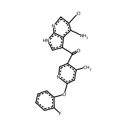 Cc1cc(Oc2ccccc2F)ncc1C(=O)c1c[nH]c2ncc(Cl)c(N)c12